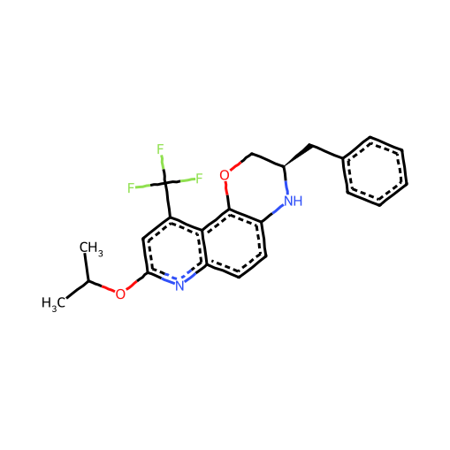 CC(C)Oc1cc(C(F)(F)F)c2c3c(ccc2n1)N[C@H](Cc1ccccc1)CO3